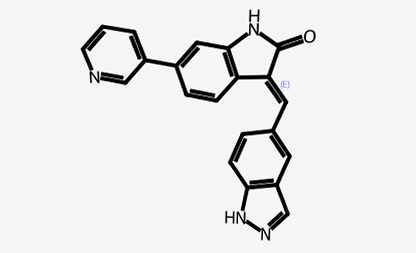 O=C1Nc2cc(-c3cccnc3)ccc2/C1=C\c1ccc2[nH]ncc2c1